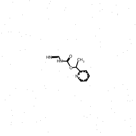 CC(OC(=O)N[C]=N)c1ccccn1